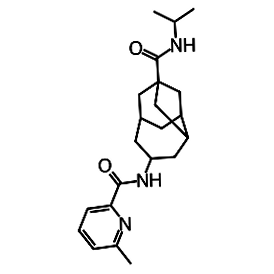 Cc1cccc(C(=O)NC2CC3CC4CC(C(=O)NC(C)C)(C3)CC4C2)n1